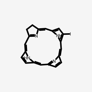 Ic1cc2cc3nc(cc4ccc(cc5nc(cc1[nH]2)C=C5)[nH]4)CC3